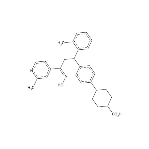 Cc1cc(C(CC(c2ccc(C3CCC(C(=O)O)CC3)cc2)c2ccccc2C)=NO)ccn1